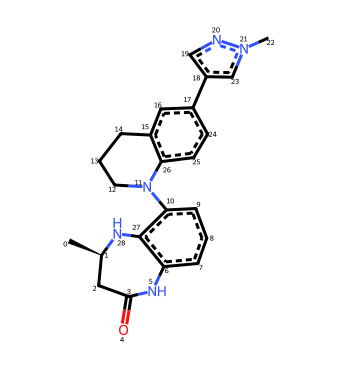 C[C@@H]1CC(=O)Nc2cccc(N3CCCc4cc(-c5cnn(C)c5)ccc43)c2N1